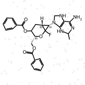 CC1N=C(N)C2=C(N1)N([C@H]1[C@H]3CC(OC(=O)c4ccccc4)[C@@H](COC(=O)c4ccccc4)OC31F)CN2